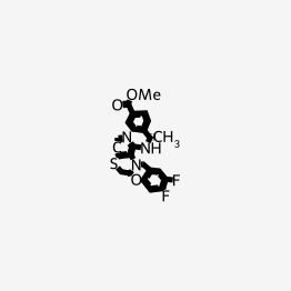 COC(=O)c1ccc([C@H](C)Nc2nccc3c2N(Cc2ccc(F)c(F)c2)C(=O)CS3)cc1